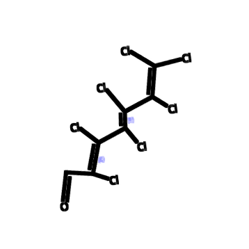 O=C/C(Cl)=C(Cl)/C(Cl)=C(\Cl)C(Cl)=C(Cl)Cl